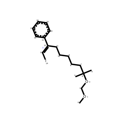 COCOC(C)(C)CCCCC/C(=C\I)c1ccccc1